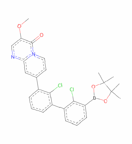 COc1cnc2cc(-c3cccc(-c4cccc(B5OC(C)(C)C(C)(C)O5)c4Cl)c3Cl)ccn2c1=O